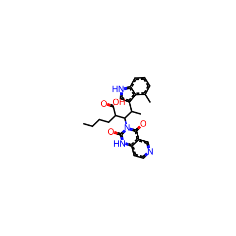 CCCCC(C(=O)O)C(C(C)c1c[nH]c2cccc(C)c12)n1c(=O)[nH]c2ccncc2c1=O